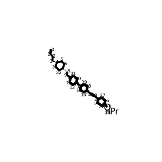 C=CCC[C@H]1CC[C@H](CCc2ccc(-c3ccc(C#Cc4ccc(OCCC)cc4)cc3)cc2)CC1